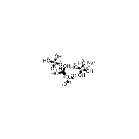 O=C(O)O.O=C=O.O[Si](O)(O)O.[Na+].[O-][Si](O)(O)O